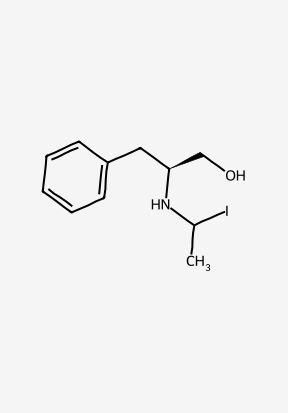 CC(I)N[C@H](CO)Cc1ccccc1